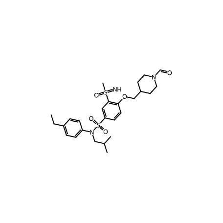 CCc1ccc(N(CC(C)C)S(=O)(=O)c2ccc(OCC3CCN(C=O)CC3)c(S(C)(=N)=O)c2)cc1